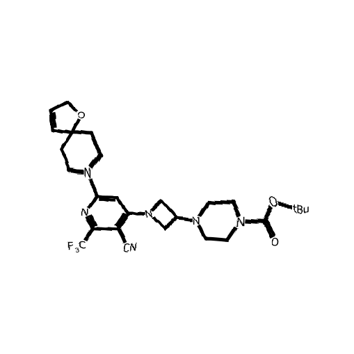 CC(C)(C)OC(=O)N1CCN(C2CN(c3cc(N4CCC5(C=CCO5)CC4)nc(C(F)(F)F)c3C#N)C2)CC1